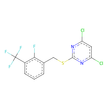 Fc1c(CSc2nc(Cl)cc(Cl)n2)cccc1C(F)(F)F